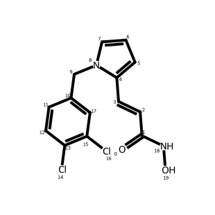 O=C(C=Cc1cccn1Cc1ccc(Cl)c(Cl)c1)NO